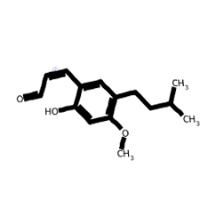 COc1cc(O)c(/C=C\C=O)cc1CCC(C)C